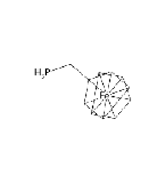 PC[C]12[CH]3[CH]4[CH]5[CH]1[Fe]45321678[CH]2[CH]1[CH]6[CH]7[CH]28